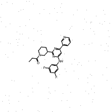 CCC(=O)N1CCCC(c2nc(Nc3cc(F)cc(F)c3)cc(-c3cccnc3)n2)C1